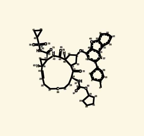 Cc1ccc(-c2nc(O[C@H]3CC4C(=O)[C@@H](NC(=O)OC5CCCC5)CCCCC/C=C\[C@@H]5C[C@@]5(C(=O)NS(=O)(=O)C5CC5)NC(=O)[C@@H]4C3)c3oc4ccccc4c3n2)cc1